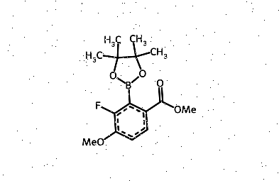 COC(=O)c1ccc(OC)c(F)c1B1OC(C)(C)C(C)(C)O1